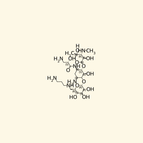 CN[C@@H]1[C@@H](O)[C@@H](O[C@H]2[C@H](NC(=O)[C@@H](O)CN)C[C@H](N)C(O[C@H]3O[C@H](CNCCCN)[C@@H](O)[C@H](O)[C@H]3O)[C@@H]2O)OC[C@]1(C)O